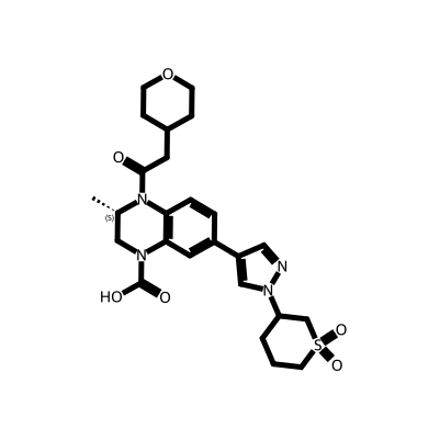 C[C@H]1CN(C(=O)O)c2cc(-c3cnn(C4CCCS(=O)(=O)C4)c3)ccc2N1C(=O)CC1CCOCC1